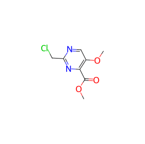 COC(=O)c1nc(CCl)ncc1OC